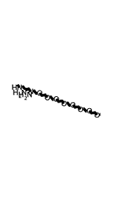 CNC/C(N)=C/N(N)CCOCCOCCOCCOCCOCCOCCOCCOC